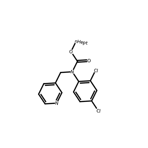 CCCCCCCOC(=O)N(Cc1cccnc1)c1ccc(Cl)cc1Cl